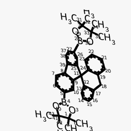 CC1(C)OB(c2ccc3c(c2)C2(c4ccccc4Cc4ccccc42)c2cc(B4OC(C)(C)C(C)(C)O4)ccc2-3)OC1(C)C